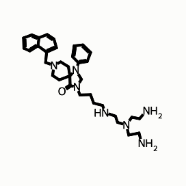 NCCN(CCN)CCNCCCCN1CN(c2ccccc2)C2(CCN(Cc3cccc4ccccc34)CC2)C1=O